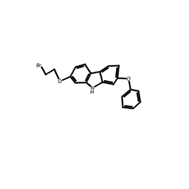 BrCCOc1ccc2c(c1)[nH]c1cc(Oc3ccccc3)ccc12